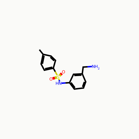 Cc1ccc(S(=O)(=O)Nc2cccc(CN)c2)cc1